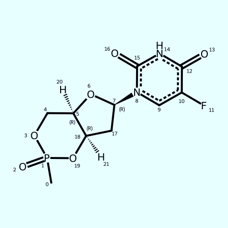 CP1(=O)OC[C@H]2O[C@@H](n3cc(F)c(=O)[nH]c3=O)C[C@H]2O1